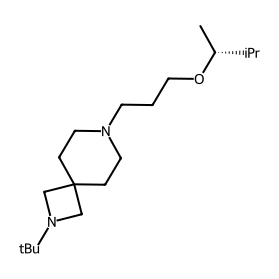 CC(C)[C@@H](C)OCCCN1CCC2(CC1)CN(C(C)(C)C)C2